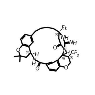 CC[C@]12CCCCc3ccc4c(c3)[C@H](CC(C)(C)O4)NC(=O)c3ccc4c(c3)[C@@H]([C@@H](C(F)(F)F)CO4)N(C(=N)N1)C(=O)C2